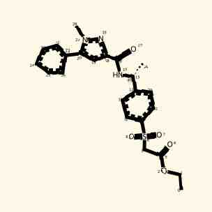 CCOC(=O)CS(=O)(=O)c1ccc([C@@H](C)NC(=O)c2cc(-c3ccccc3)n(C)n2)cc1